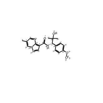 Cc1cnc2c(C(=O)N[C@@H](c3ccc(OC(F)(F)F)cc3)C(C)(C)O)cnn2c1